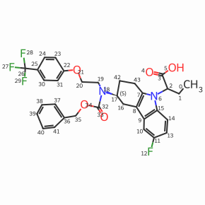 CCC(C(=O)O)n1c2c(c3cc(F)ccc31)C[C@@H](N(CCOc1ccc(C(F)(F)F)cc1)C(=O)OCc1ccccc1)CC2